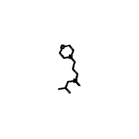 CC(C)CN(C)CCCN1CCOCC1